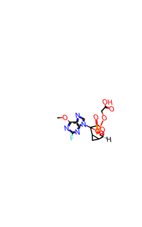 COc1nc(F)nc2c1ncn2C12CO[C@H](COP(=O)(OCC(=O)O)O1)C1CC12